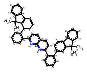 CC1(C)C2=C(C=CCC2c2ccccc2-c2ccc3ccc(-c4ccccc4-c4ccc5c(c4)C(C)(C)c4ccccc4-5)nc3n2)c2ccccc21